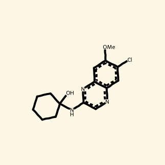 COc1cc2nc(NC3(O)CCCCC3)cnc2cc1Cl